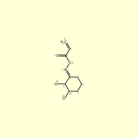 C=CC(=O)ON=C1CCCC(Cl)C1Cl